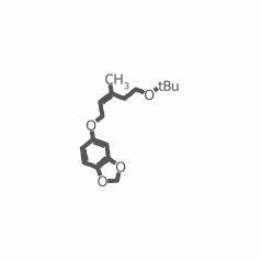 CC(=CCOc1ccc2c(c1)OCO2)CCOC(C)(C)C